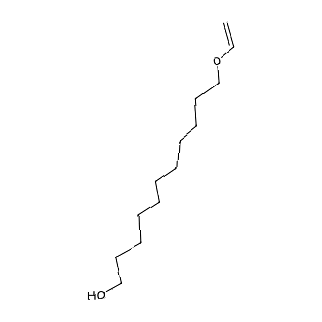 C=COCCCCCCCCCCCO